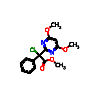 COC(=O)C(Cl)(c1ccccc1)c1nc(OC)cc(OC)n1